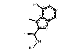 Cc1c(C(=O)NN)oc2cccc(O)c12